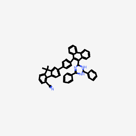 CC1(C)c2cc(-c3ccc(-c4c(C5N=C(c6ccccc6)NC(c6ccccc6)N5)c5ccccc5c5ccccc45)cc3)ccc2-c2c(C#N)cccc21